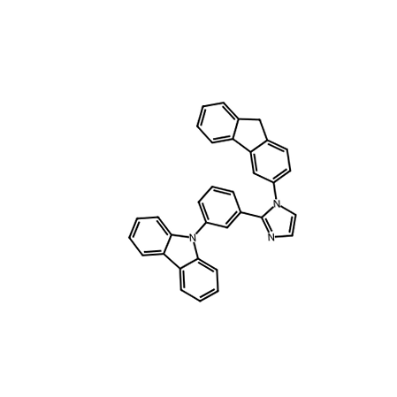 c1cc(-c2nccn2-c2ccc3c(c2)-c2ccccc2C3)cc(-n2c3ccccc3c3ccccc32)c1